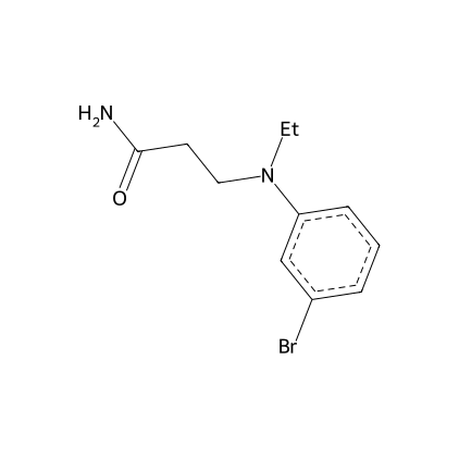 CCN(CCC(N)=O)c1cccc(Br)c1